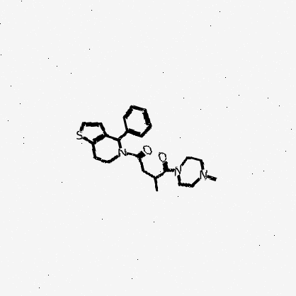 CC(CC(=O)N1CCc2sccc2C1c1ccccc1)C(=O)N1CCN(C)CC1